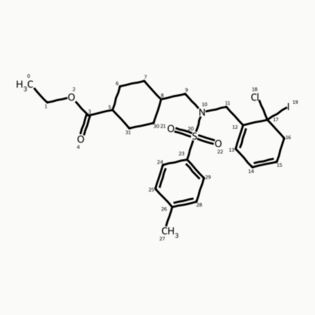 CCOC(=O)C1CCC(CN(CC2=CC=CCC2(Cl)I)S(=O)(=O)c2ccc(C)cc2)CC1